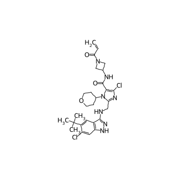 C=CC(=O)N1CC(NC(=O)c2c(Cl)nc(CNc3n[nH]c4cc(Cl)c(C(C)(C)C)cc34)n2C2CCOCC2)C1